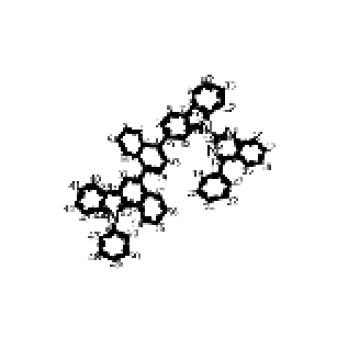 C1=CC2C(c3ccc4c5ccccc5n(-c5nc(-c6ccccc6)c6ccccc6n5)c4c3)=CC=C(c3cc4c5ccccc5n(-c5ccccc5)c4c4ccccc34)C2C=C1